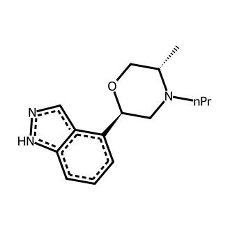 CCCN1C[C@@H](c2cccc3[nH]ncc23)OC[C@@H]1C